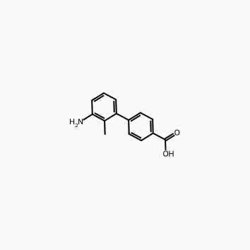 Cc1c(N)cccc1-c1ccc(C(=O)O)cc1